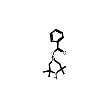 CC1(C)CN(OC(=O)c2ccccc2)CC(C)(C)N1